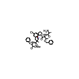 COC(=O)[C@H](Cc1ccccc1)NC(=O)[C@@](C)(/C=C/[C@@H]1CCCN1C(=O)[C@@H](NC(=O)[C@H](C)N)C(C)OCc1ccccc1)Cc1cccc(Cl)c1